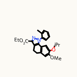 CCOC(=O)c1nn(-c2ccccc2C)c2c1CCc1cc(OC)c(OC(C)C)cc1-2